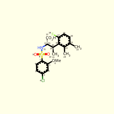 COc1cc(Cl)ccc1S(=O)(=O)N[C@H](C(=O)O)[C@H](C)c1c(F)ccc(C)c1C